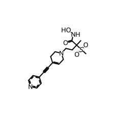 CC(CCN1CC=C(C#Cc2ccncc2)CC1)(C(=O)NO)S(C)(=O)=O